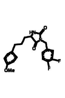 COc1ccc(CCCC2NC(=O)N(Cc3ccc(F)c(F)c3)C2=O)cc1